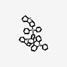 c1ccc(N2c3ccccc3C3(c4ccccc42)c2ccc([Si](c4ccccc4)(c4ccccc4)c4ccc5sc6ccccc6c5c4)cc2-n2c4ccccc4c4cccc3c42)cc1